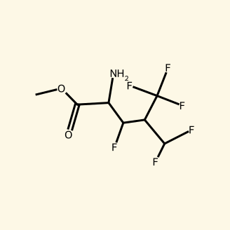 COC(=O)C(N)C(F)C(C(F)F)C(F)(F)F